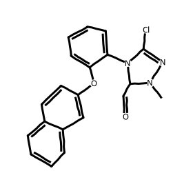 CN1N=C(Cl)N(c2ccccc2Oc2ccc3ccccc3c2)C1C=O